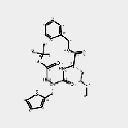 CSCC[C@H](NC(=O)[C@H](Cc1cccs1)NC(=O)OC(C)(C)C)C(=O)OCc1ccccc1